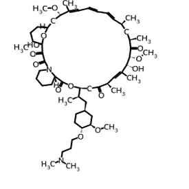 CO[C@H]1C[C@@H]2CC[C@@H](C)[C@@](O)(O2)C(=O)C(=O)N2CCCC[C@H]2C(=O)O[C@H]([C@H](C)C[C@@H]2CC[C@@H](OCCCN(C)C)[C@H](OC)C2)CC(=O)[C@H](C)/C=C(\C)[C@@H](O)[C@@H](OC)C(=O)[C@H](C)C[C@H](C)/C=C/C=C/C=C/1C